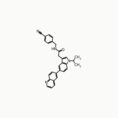 CC(C)n1cc(CC(=O)NCc2ccc(C#N)cc2)c2cc(-c3ccc4ncccc4c3)ccc21